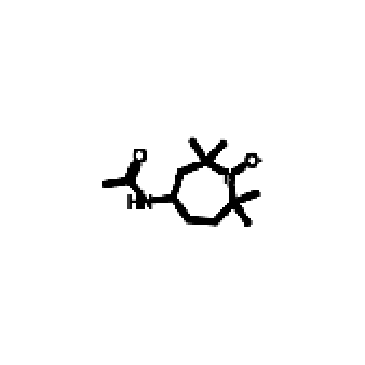 CC(=O)NC1CCC(C)(C)N([O])C(C)(C)C1